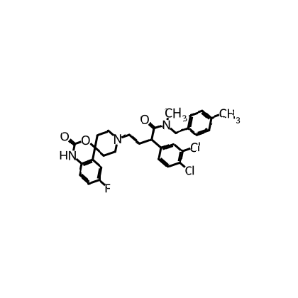 Cc1ccc(CN(C)C(=O)C(CCN2CCC3(CC2)OC(=O)Nc2ccc(F)cc23)c2ccc(Cl)c(Cl)c2)cc1